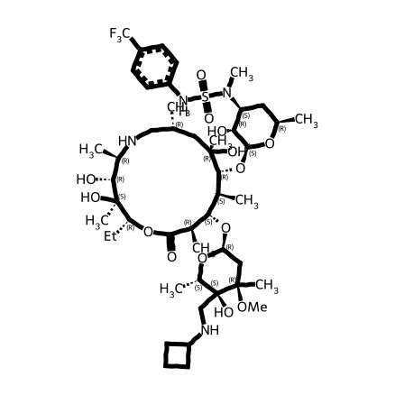 CC[C@H]1OC(=O)[C@H](C)[C@@H](O[C@H]2C[C@@](C)(OC)[C@](O)(CNC3CCC3)[C@H](C)O2)[C@H](C)[C@@H](O[C@@H]2O[C@H](C)C[C@H](N(C)S(=O)(=O)Nc3ccc(C(F)(F)F)cc3)[C@H]2O)[C@](C)(O)C[C@@H](C)CN[C@H](C)[C@@H](O)[C@]1(C)O